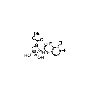 CC(C)(C)OC(=O)N1C[C@@H](O)[C@@H](O)[C@H]1C(=O)Nc1ccc(F)c(Cl)c1F